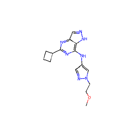 COCCn1cc(Nc2nc(C3CCC3)nc3cn[nH]c23)cn1